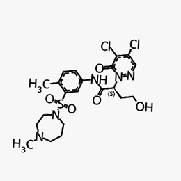 Cc1ccc(NC(=O)[C@H](CCO)n2ncc(Cl)c(Cl)c2=O)cc1S(=O)(=O)N1CCCN(C)CC1